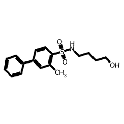 Cc1cc(-c2ccccc2)ccc1S(=O)(=O)NCCCCO